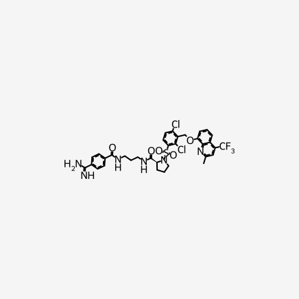 Cc1cc(C(F)(F)F)c2cccc(OCc3c(Cl)ccc(S(=O)(=O)N4CCC[C@H]4C(=O)NCCCNC(=O)c4ccc(C(=N)N)cc4)c3Cl)c2n1